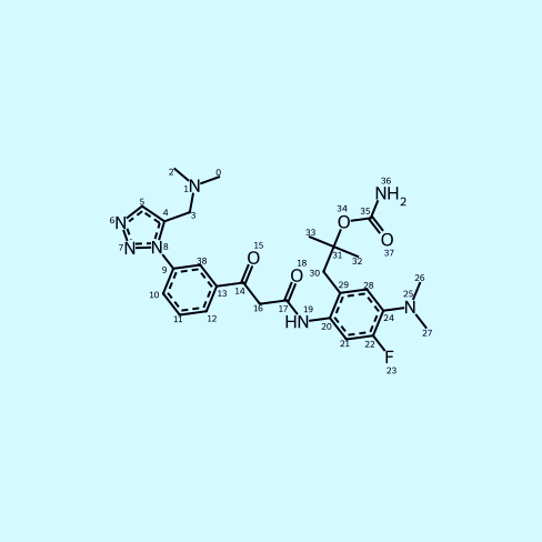 CN(C)Cc1cnnn1-c1cccc(C(=O)CC(=O)Nc2cc(F)c(N(C)C)cc2CC(C)(C)OC(N)=O)c1